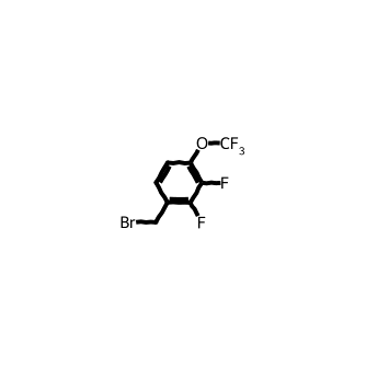 Fc1c(CBr)ccc(OC(F)(F)F)c1F